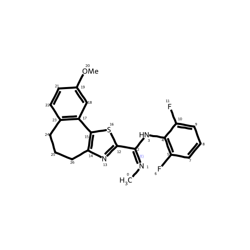 C/N=C(/Nc1c(F)cccc1F)c1nc2c(s1)-c1cc(OC)ccc1CCC2